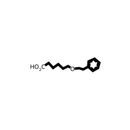 O=C(O)CCCCCOCCc1ccccc1